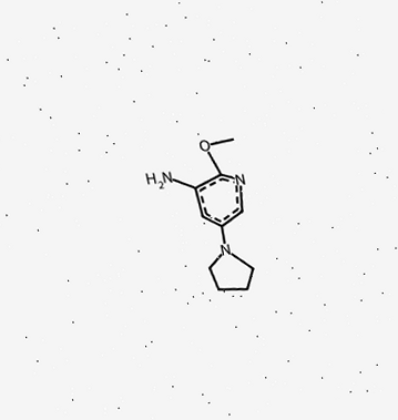 COc1ncc(N2CCCC2)cc1N